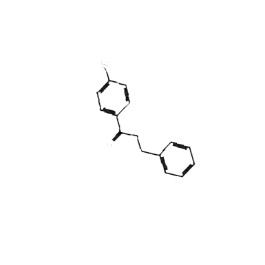 O=C([CH]Cc1ccccc1)c1ccc(Br)cc1